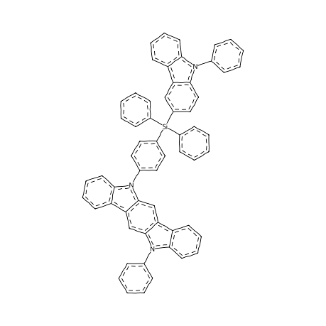 c1ccc(-n2c3ccccc3c3cc([Si](c4ccccc4)(c4ccccc4)c4ccc(-n5c6ccccc6c6cc7c(cc65)c5ccccc5n7-c5ccccc5)cc4)ccc32)cc1